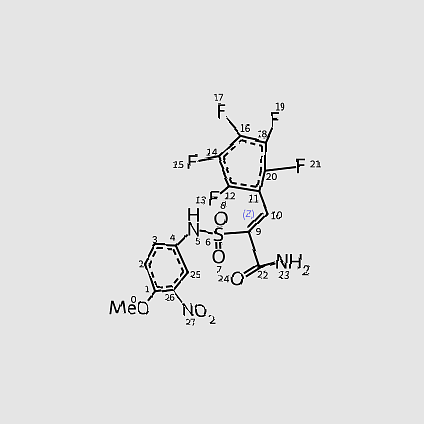 COc1ccc(NS(=O)(=O)/C(=C\c2c(F)c(F)c(F)c(F)c2F)C(N)=O)cc1[N+](=O)[O-]